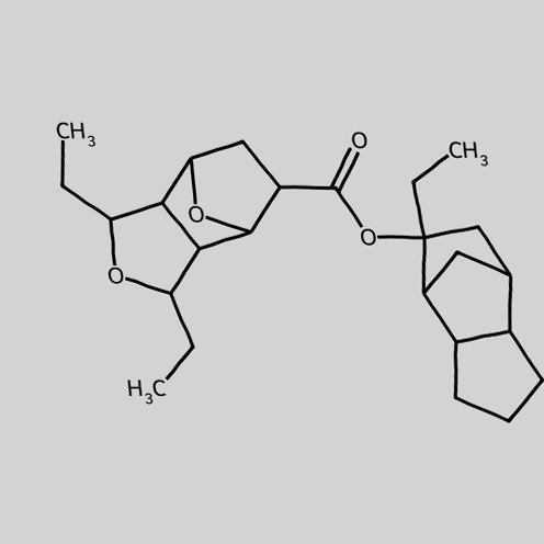 CCC1OC(CC)C2C3OC(CC3C(=O)OC3(CC)CC4CC3C3CCCC43)C12